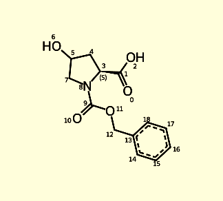 O=C(O)[C@@H]1CC(O)CN1C(=O)OCc1ccccc1